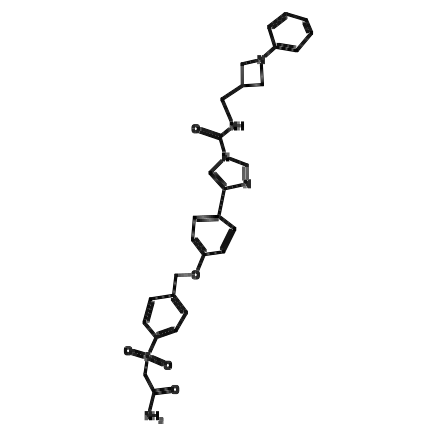 NC(=O)CS(=O)(=O)c1ccc(COc2ccc(-c3cn(C(=O)NCC4CN(c5ccccc5)C4)cn3)cc2)cc1